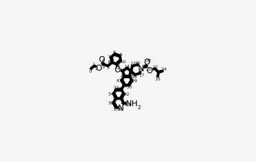 CCOC(=O)Cc1ccccc1OC1CC2(CCN(C(=O)OCC(C)C)CC2)c2ccc(-c3ccc4ccnc(N)c4c3)cc21